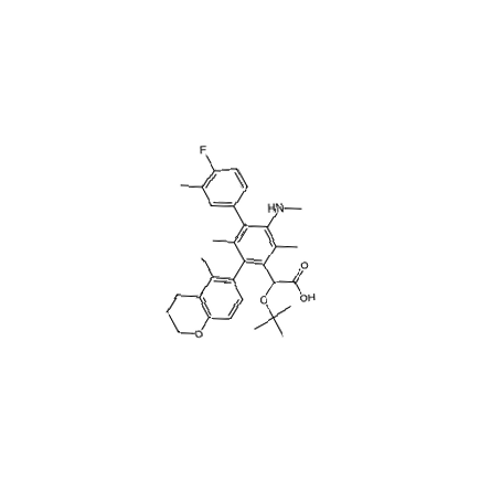 CNc1c(C)c(C(OC(C)(C)C)C(=O)O)c(-c2ccc3c(c2C)CCCO3)c(C)c1-c1ccc(F)c(C)c1